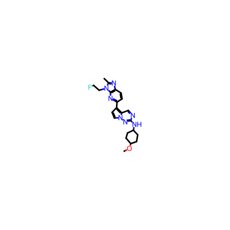 COC1CCC(Nc2ncc3c(-c4ccc5nc(C)n(CCF)c5n4)ccn3n2)CC1